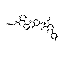 CCOc1ccn(-c2ccc(F)cc2)c(=O)c1C(=O)Nc1ccc(Oc2ccnc3cc(OCC#N)c4c(c23)OCCO4)c(F)c1